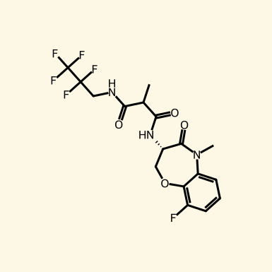 CC(C(=O)NCC(F)(F)C(F)(F)F)C(=O)N[C@H]1COc2c(F)cccc2N(C)C1=O